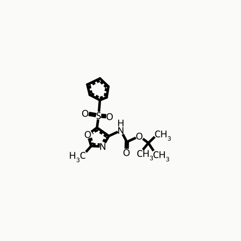 Cc1nc(NC(=O)OC(C)(C)C)c(S(=O)(=O)c2ccccc2)o1